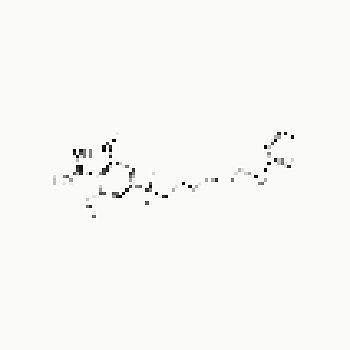 COc1cc(C(C)(C)CCCCCCOc2ccccc2)cc(OC)c1B(O)O